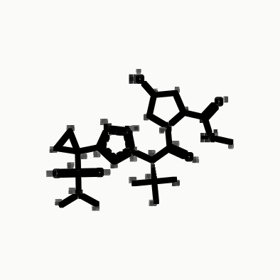 CNC(=O)C1CC(O)CN1C(=O)[C@@H](n1cc(C2(S(=O)(=O)N(C)C)CC2)nn1)C(C)(C)C